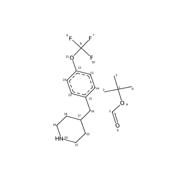 CC(C)(C)OC=O.FC(F)(F)Oc1ccc(CC2CCNCC2)cc1